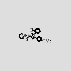 COc1ccc([C@H]2[C@H](C)C(C(=S)NN3CCCCC3)=NN2c2ccccc2Cl)cc1